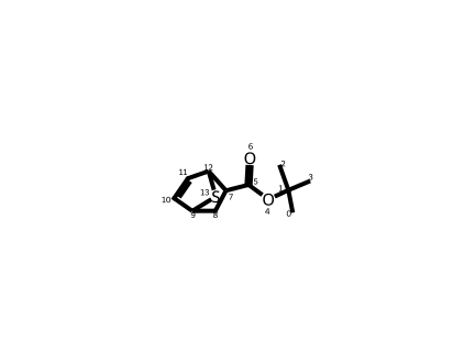 CC(C)(C)OC(=O)C1CC2C=CC1S2